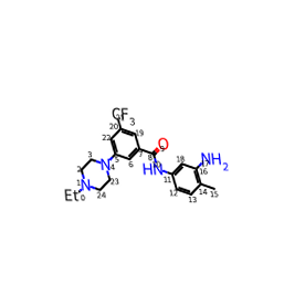 CCN1CCN(c2cc(C(=O)Nc3ccc(C)c(N)c3)cc(C(F)(F)F)c2)CC1